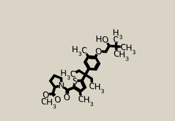 CCC(CC)(c1ccc(OCC(O)C(C)(C)C)c(C)c1)c1cc(C)c(C(=O)N2CCCC2C(=O)OC)s1